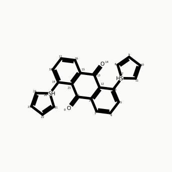 O=C1c2cccc([SH]3C=CC=C3)c2C(=O)c2cccc([SH]3C=CC=C3)c21